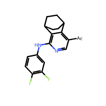 CC(=O)c1cnc(Nc2ccc(F)c(F)c2)c2c1C1CCC2CC1